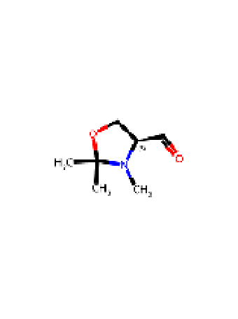 CN1[C@H](C=O)COC1(C)C